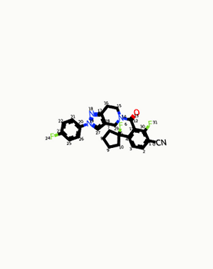 N#Cc1ccc(C2(F)CCCC2)c(C(=O)N2CCc3nn(-c4ccc(F)cc4)cc3C2)c1F